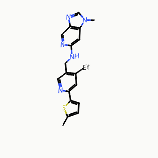 CCc1cc(-c2ccc(C)s2)ncc1CNc1cc2c(cn1)ncn2C